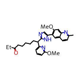 CCC(=O)CCCCCC(c1cccc(OC)n1)c1ncc(-c2cc3ccc(C)nc3cc2OC)[nH]1